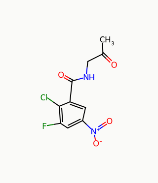 CC(=O)CNC(=O)c1cc([N+](=O)[O-])cc(F)c1Cl